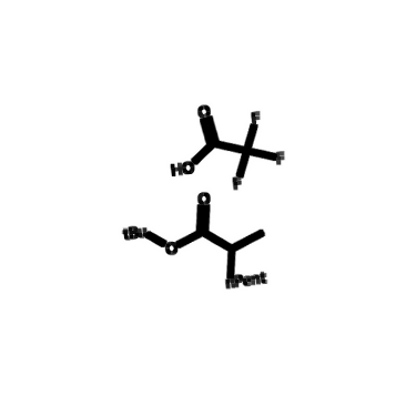 CCCCCC(C)C(=O)OC(C)(C)C.O=C(O)C(F)(F)F